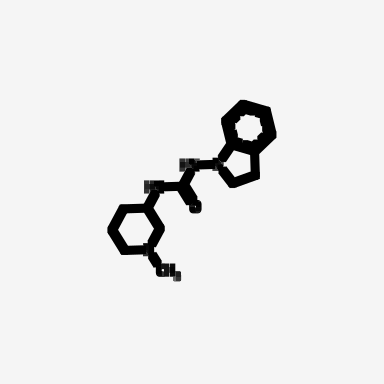 CN1CCCC(NC(=O)NN2CCc3ccccc32)C1